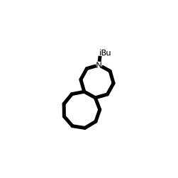 CCC(C)N1CCCC2CCCCCCCC2CC1